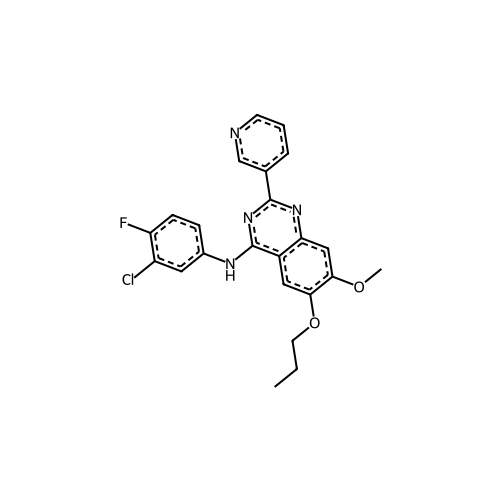 CCCOc1cc2c(Nc3ccc(F)c(Cl)c3)nc(-c3cccnc3)nc2cc1OC